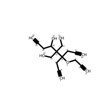 C#CCOC(CC#C)(CC#C)C(CO)(CO)C(O)CC#C